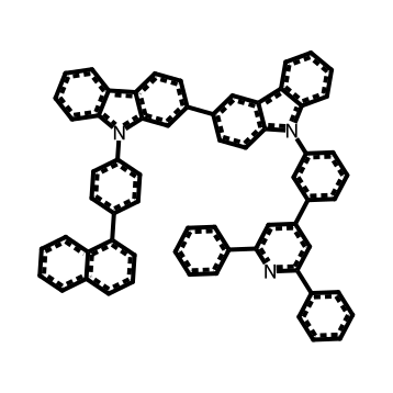 c1ccc(-c2cc(-c3cccc(-n4c5ccccc5c5cc(-c6ccc7c8ccccc8n(-c8ccc(-c9cccc%10ccccc9%10)cc8)c7c6)ccc54)c3)cc(-c3ccccc3)n2)cc1